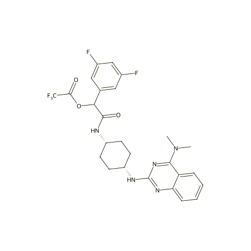 CN(C)c1nc(N[C@H]2CC[C@@H](NC(=O)C(OC(=O)C(F)(F)F)c3cc(F)cc(F)c3)CC2)nc2ccccc12